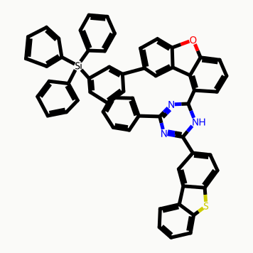 c1ccc(C2=NC(c3cccc4oc5ccc(-c6cccc([Si](c7ccccc7)(c7ccccc7)c7ccccc7)c6)cc5c34)NC(c3ccc4sc5ccccc5c4c3)=N2)cc1